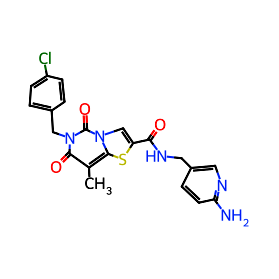 Cc1c(=O)n(Cc2ccc(Cl)cc2)c(=O)n2cc(C(=O)NCc3ccc(N)nc3)sc12